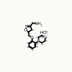 Cl.NCC1=NOC(COc2ccccc2N2CCOCC2)C1